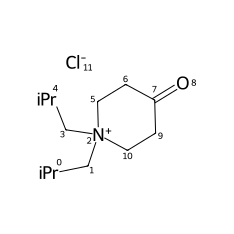 CC(C)C[N+]1(CC(C)C)CCC(=O)CC1.[Cl-]